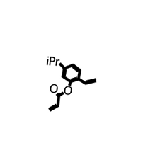 C=CC(=O)Oc1cc(C(C)C)ccc1C=C